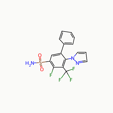 NS(=O)(=O)c1cc(-c2ccccc2)c(-n2cccn2)c(C(F)(F)F)c1F